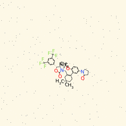 COc1ccc(N2CCCC2=O)cc1C1=C(CN2C(=O)O[C@H](c3cc(C(F)(F)F)cc(C(F)(F)F)c3)[C@@H]2C)CC(C)(C)CC1